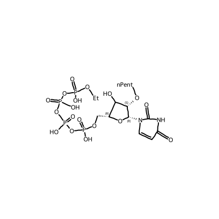 CCCCCO[C@H]1C(O)[C@@H](COP(=O)(O)OP(=O)(O)OP(=O)(O)OP(=O)(O)OCC)O[C@H]1n1ccc(=O)[nH]c1=O